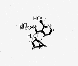 C#Cc1ncccc1C(C)=NOC.Cl.c1cc2cc-2c1